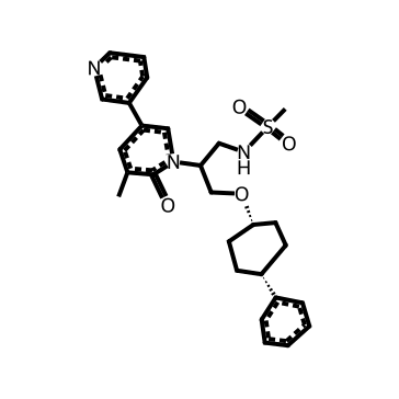 Cc1cc(-c2cccnc2)cn(C(CNS(C)(=O)=O)CO[C@H]2CC[C@@H](c3ccccc3)CC2)c1=O